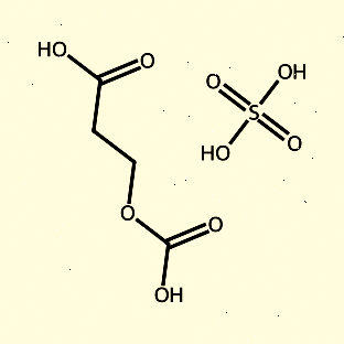 O=C(O)CCOC(=O)O.O=S(=O)(O)O